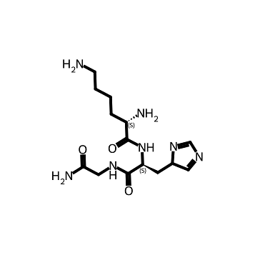 NCCCC[C@H](N)C(=O)N[C@@H](CC1C=NC=N1)C(=O)NCC(N)=O